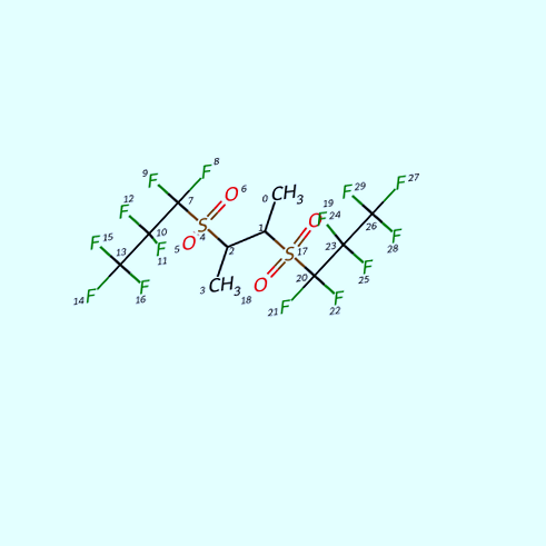 CC(C(C)S(=O)(=O)C(F)(F)C(F)(F)C(F)(F)F)S(=O)(=O)C(F)(F)C(F)(F)C(F)(F)F